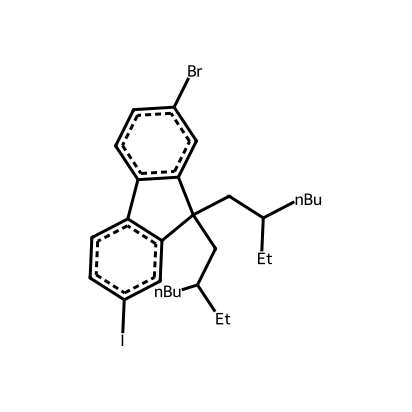 CCCCC(CC)CC1(CC(CC)CCCC)c2cc(Br)ccc2-c2ccc(I)cc21